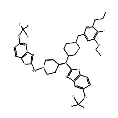 CCOc1cc(CN2CCC(N(c3nc4cc(OC(F)(F)F)ccc4o3)C3CCN(Nc4nc5cc(OC(F)(F)F)ccc5o4)CC3)CC2)cc(OCC)c1F